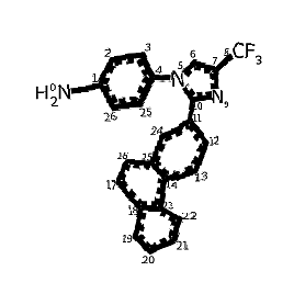 Nc1ccc(-n2cc(C(F)(F)F)nc2-c2ccc3c(ccc4ccccc43)c2)cc1